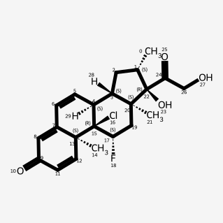 C[C@H]1C[C@H]2[C@@H]3C=CC4=CC(=O)C=C[C@]4(C)[C@@]3(Cl)[C@@H](F)C[C@]2(C)[C@@]1(O)C(=O)CO